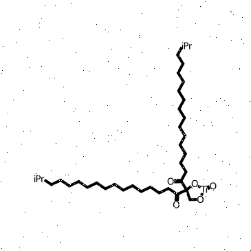 CC(C)CCCCCCCCCCCCCCC(=O)C1(C(=O)CCCCCCCCCCCCCCC(C)C)C[O][Ti](=[O])[O]1